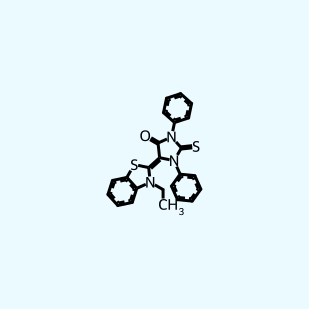 CCN1C(=C2C(=O)N(c3ccccc3)C(=S)N2c2ccccc2)Sc2ccccc21